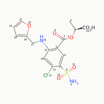 C[C@H](OC(=O)c1cc(S(N)(=O)=O)c(Cl)cc1NCc1ccco1)C(=O)O